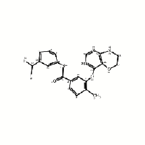 Cc1ccc(C(=O)Nc2cccc(C(F)F)c2)cc1Oc1ncnc2c1OCCN2